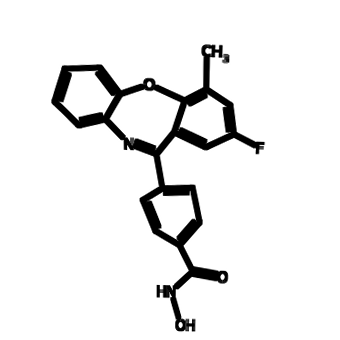 Cc1cc(F)cc2c1Oc1ccccc1N=C2c1ccc(C(=O)NO)cc1